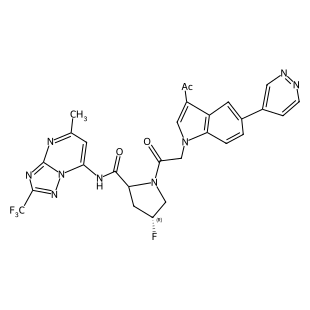 CC(=O)c1cn(CC(=O)N2C[C@H](F)CC2C(=O)Nc2cc(C)nc3nc(C(F)(F)F)nn23)c2ccc(-c3ccnnc3)cc12